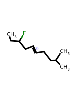 CCC(F)C/C=C/CCC(C)C